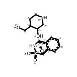 O=S1(=O)Nc2ccc1c1ccccc21.OCC1CCNCC1O